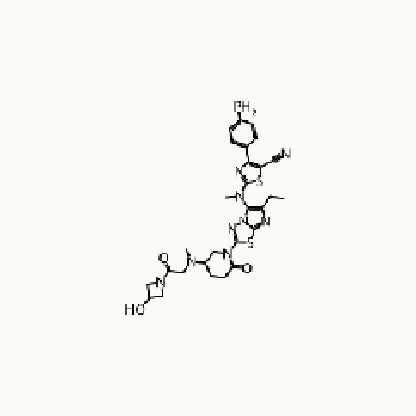 CCc1nc2sc(N3CC(N(C)CC(=O)N4CC(O)C4)CCC3=O)nn2c1N(C)c1nc(-c2ccc(P)cc2)c(C#N)s1